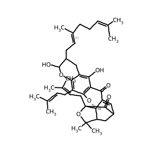 CC(C)=CCC/C(C)=C/CC1Cc2c(O)c3c(c(CC=C(C)C)c2OC1O)O[C@]12C(=CC4CC1C(C)(C)OC2(CC=C(C)C)C4=O)C3=O